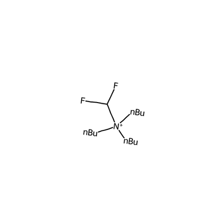 CCCC[N+](CCCC)(CCCC)C(F)F